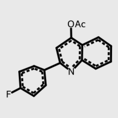 CC(=O)Oc1cc(-c2ccc(F)cc2)nc2ccccc12